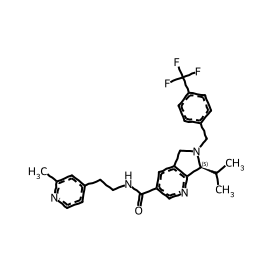 Cc1cc(CCNC(=O)c2cnc3c(c2)CN(Cc2ccc(C(F)(F)F)cc2)[C@H]3C(C)C)ccn1